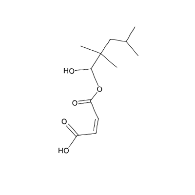 CC(C)CC(C)(C)C(O)OC(=O)/C=C\C(=O)O